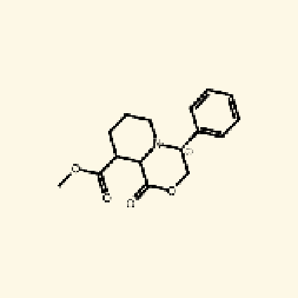 COC(=O)C1CCCN2C1C(=O)OC[C@@H]2c1ccccc1